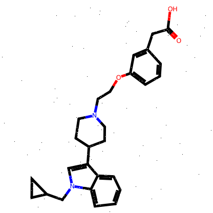 O=C(O)Cc1cccc(OCCN2CCC(c3cn(CC4CC4)c4ccccc34)CC2)c1